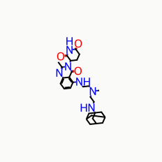 Cc1nc2cccc(NCCN(C)CCNC34CC5CC(CC(C5)C3)C4)c2c(=O)n1C1CCC(=O)NC1=O